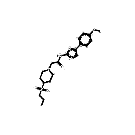 CCCS(=O)(=O)C1CCN(CC(=O)Nc2nc(-c3ccc(OC)cc3)cs2)CC1